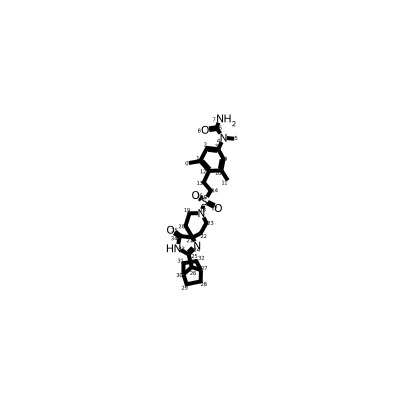 Cc1cc(N(C)C(N)=O)cc(C)c1CCS(=O)(=O)N1CCC2(CC1)N=C(C1C3CCC1CC3)NC2=O